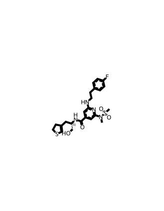 CN(c1cc(C(=O)N[C@H](CO)CC2=CSCC2)cc(NCCc2ccc(F)cc2)n1)S(C)(=O)=O